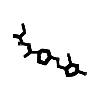 C=C(N/N=C(\C)c1ccc(OCc2ccc(F)cc2F)cc1)SC